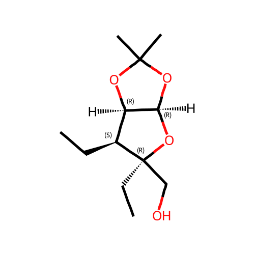 CC[C@H]1[C@H]2OC(C)(C)O[C@H]2O[C@@]1(CC)CO